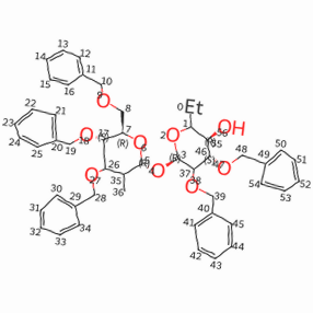 CCC1O[C@H](O[C@H]2O[C@H](COCc3ccccc3)[C@@H](OCc3ccccc3)C(OCc3ccccc3)C2C)C(OCc2ccccc2)[C@@H](OCc2ccccc2)[C@@H]1O